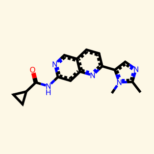 Cc1ncc(-c2ccc3cnc(NC(=O)C4CC4)cc3n2)n1C